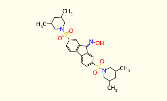 CC1CC(C)CN(S(=O)(=O)c2ccc3c(c2)C(=NO)c2cc(S(=O)(=O)N4CC(C)CC(C)C4)ccc2-3)C1